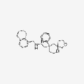 c1ccc(C2(CCNCc3cccc4c3CCCC4)CCOC3(CCOC3)C2)nc1